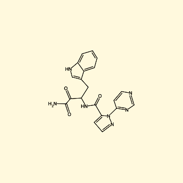 NC(=O)C(=O)C(Cc1c[nH]c2ccccc12)NC(=O)c1ccnn1-c1ccncn1